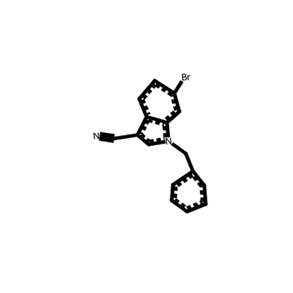 N#Cc1cn(Cc2ccccc2)c2cc(Br)ccc12